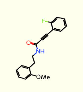 COc1ccccc1CCNC(=O)C#Cc1ccccc1F